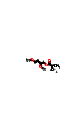 C=C(C)C(=O)OCC(CCOCC)OCC